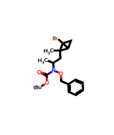 CC(CC1(C)C2CC21Br)N(OCc1ccccc1)C(=O)OC(C)(C)C